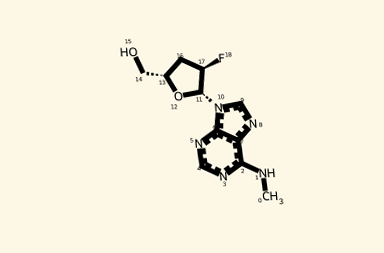 CNc1ncnc2c1ncn2[C@@H]1O[C@H](CO)C[C@H]1F